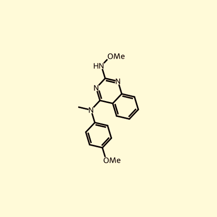 CONc1nc(N(C)c2ccc(OC)cc2)c2ccccc2n1